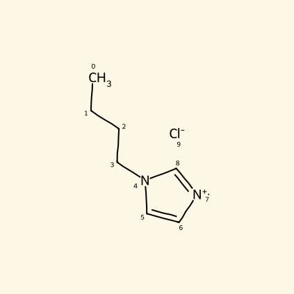 CCCCN1C=C[N+]=C1.[Cl-]